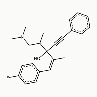 CC(=Cc1ccc(F)cc1)C(O)(C#Cc1ccccc1)C(C)CN(C)C